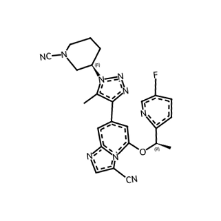 Cc1c(-c2cc(O[C@H](C)c3ccc(F)cn3)n3c(C#N)cnc3c2)nnn1[C@@H]1CCCN(C#N)C1